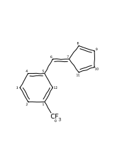 FC(F)(F)c1cccc(C=C2C=CC=C2)c1